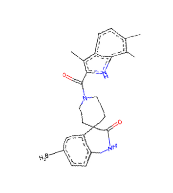 Bc1ccc2c(c1)C1(CCN(C(=O)c3[nH]c4c(C)c(C)ccc4c3C)CC1)C(=O)N2